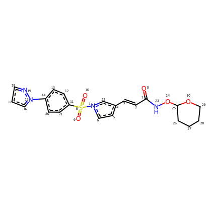 O=C(/C=C/c1ccn(S(=O)(=O)c2ccc(-n3cccn3)cc2)c1)NOC1CCCCO1